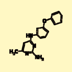 Cc1cc(Nc2cccc(Oc3ccccc3)c2)nc(N)n1